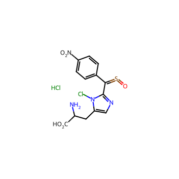 Cl.NC(Cc1cnc(C(=S=O)c2ccc([N+](=O)[O-])cc2)n1Cl)C(=O)O